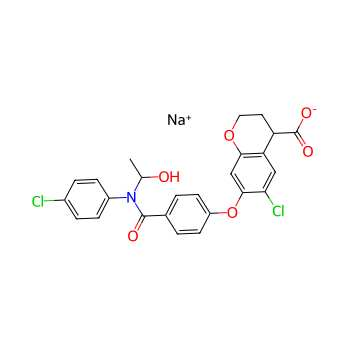 CC(O)N(C(=O)c1ccc(Oc2cc3c(cc2Cl)C(C(=O)[O-])CCO3)cc1)c1ccc(Cl)cc1.[Na+]